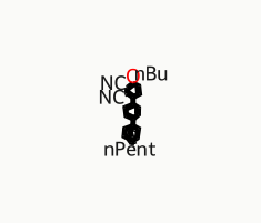 CCCCCC12CCC(c3ccc(-c4ccc(OCCCC)c(C#N)c4C#N)cc3)(CC1)CC2